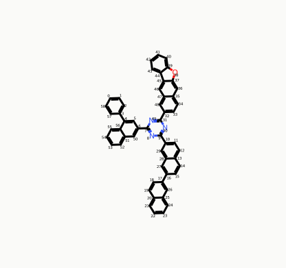 c1ccc(-c2cc(-c3nc(-c4ccc5ccc(-c6ccc7ccccc7c6)cc5c4)nc(-c4ccc5cc6oc7ccccc7c6cc5c4)n3)cc3ccccc23)cc1